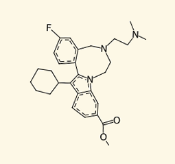 COC(=O)c1ccc2c(C3CCCCC3)c3n(c2c1)CCN(CCN(C)C)Cc1cc(F)ccc1-3